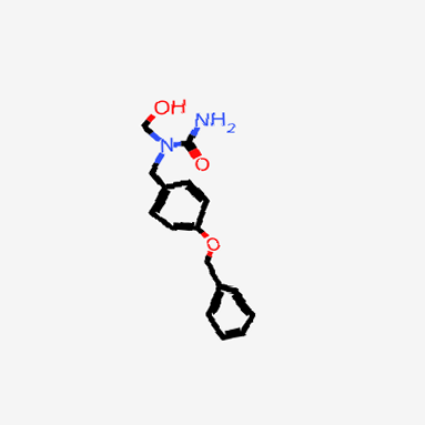 NC(=O)N(CO)Cc1ccc(OCc2ccccc2)cc1